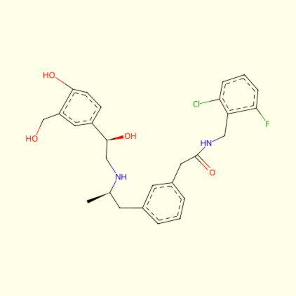 C[C@H](Cc1cccc(CC(=O)NCc2c(F)cccc2Cl)c1)NC[C@H](O)c1ccc(O)c(CO)c1